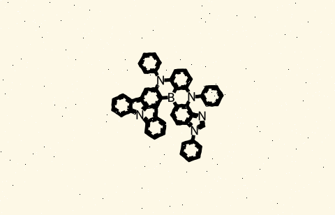 c1ccc(N2c3cccc4c3B(c3ccc5c(ncn5-c5ccccc5)c3N4c3ccccc3)c3c2cc2c4ccccc4n4c5ccccc5c3c24)cc1